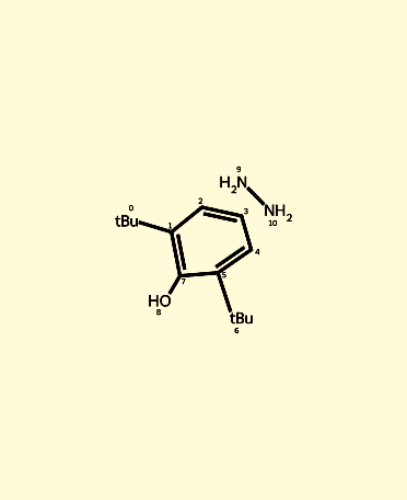 CC(C)(C)c1cccc(C(C)(C)C)c1O.NN